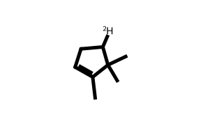 [2H]C1CC=C(C)C1(C)C